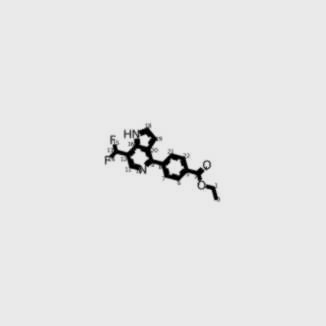 CCOC(=O)c1ccc(-c2ncc(C(F)F)c3[nH]ccc23)cc1